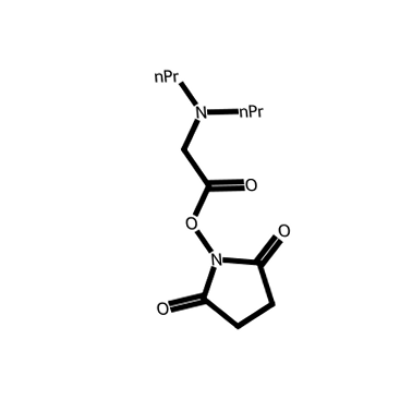 CCCN(CCC)CC(=O)ON1C(=O)CCC1=O